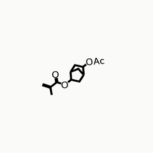 C=C(C)C(=O)OC1CC2CC1CC2OC(C)=O